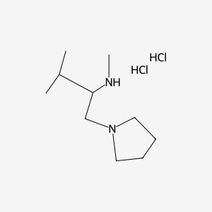 CNC(CN1CCCC1)C(C)C.Cl.Cl